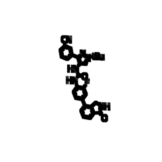 CC(C)(C)n1cc(NC(=O)Nc2ccc(-c3cccc4c3CNC4=O)cc2F)c(-c2cccc(C#N)c2)n1